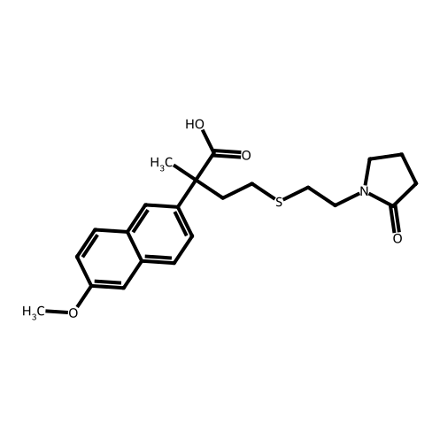 COc1ccc2cc(C(C)(CCSCCN3CCCC3=O)C(=O)O)ccc2c1